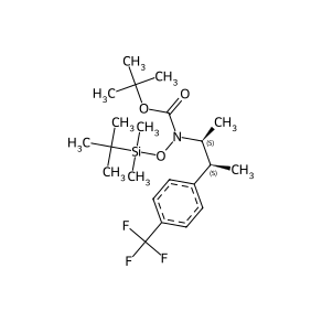 C[C@@H](c1ccc(C(F)(F)F)cc1)[C@H](C)N(O[Si](C)(C)C(C)(C)C)C(=O)OC(C)(C)C